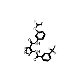 O=C(Nc1snnc1C(=O)Nc1cccc(OC(F)F)c1)c1cccc(C(F)(F)F)c1